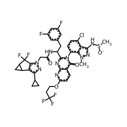 Cn1nc(N[S+](C)[O-])c2c(Cl)ccc(-n3c(C(Cc4cc(F)cc(F)c4)NC(=O)Cn4nc(C5CC5)c5c4C(F)(F)C4CC54)nc4nc(OCCC(F)(F)F)ccc4c3=O)c21